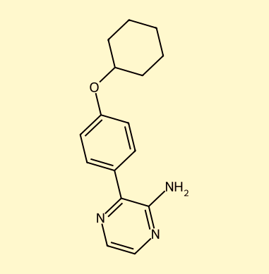 Nc1nccnc1-c1ccc(OC2CCCCC2)cc1